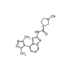 Cc1noc(C)c1-c1cccc2nc(NC(=O)[C@H]3CCN(C#N)C3)sc12